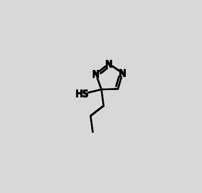 CCCC1(S)C=NN=N1